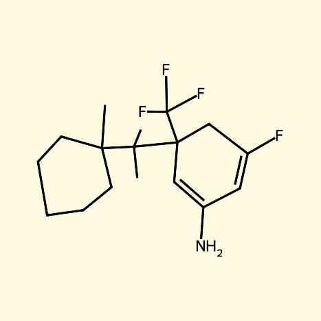 CC1(C(C)(C)C2(C(F)(F)F)C=C(N)C=C(F)C2)CCCCC1